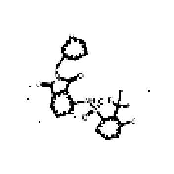 O=C1c2cccc(NS(=O)(=O)c3cccc(Cl)c3C(F)(F)F)c2C(=O)N1Cc1cccnc1